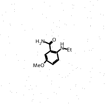 CCNc1ccc(OC)cc1C(N)=O